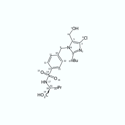 CCCCc1nc(Cl)c(CO)n1Cc1ccc(S(=O)(=O)N[C@H](C(=O)O)C(C)C)cc1